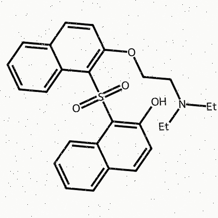 CCN(CC)CCOc1ccc2ccccc2c1S(=O)(=O)c1c(O)ccc2ccccc12